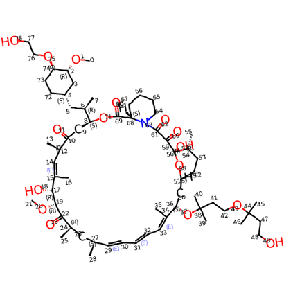 CO[C@@H]1C[C@H](C[C@@H](C)[C@@H]2CC(=O)[C@H](C)/C=C(\C)[C@@H](O)[C@@H](OC)C(=O)[C@H](C)C[C@H](C)/C=C/C=C/C=C(\C)[C@@H](OC(C)(C)CCOC(C)(C)CCO)C[C@@H]3CC[C@@H](C)[C@@](O)(O3)C(=O)C(=O)N3CCCC[C@H]3C(=O)O2)CC[C@H]1OCCO